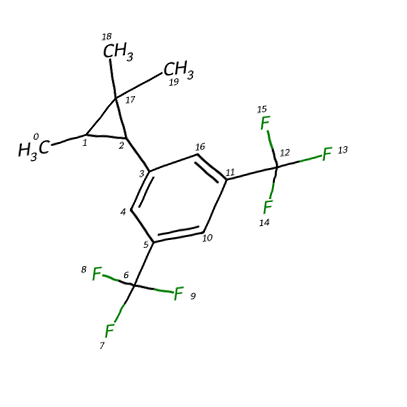 CC1C(c2cc(C(F)(F)F)cc(C(F)(F)F)c2)C1(C)C